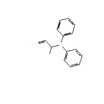 C=CC(CC)P(c1ccccc1)c1ccccc1